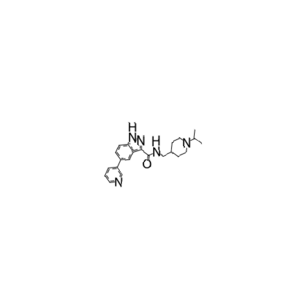 CC(C)N1CCC(CNC(=O)c2n[nH]c3ccc(-c4cccnc4)cc23)CC1